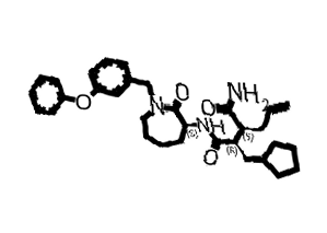 C=CC[C@H](C(N)=O)[C@@H](CC1CCCC1)C(=O)N[C@H]1CCCCN(Cc2cccc(Oc3ccccc3)c2)C1=O